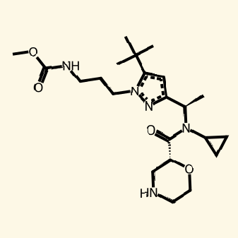 COC(=O)NCCCn1nc([C@@H](C)N(C(=O)[C@H]2CNCCO2)C2CC2)cc1C(C)(C)C